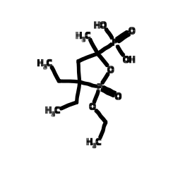 CCOP1(=O)OC(C)(P(=O)(O)O)CC1(CC)CC